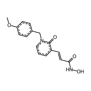 COc1ccc(Cn2cccc(/C=C/C(=O)NO)c2=O)cc1